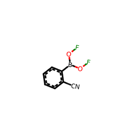 N#Cc1ccccc1B(OF)OF